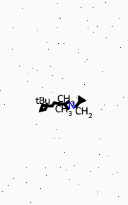 C=C(C1CC1)N1CC(C(C)(C)CCC2(C(C)(C)C)CCC2)C1